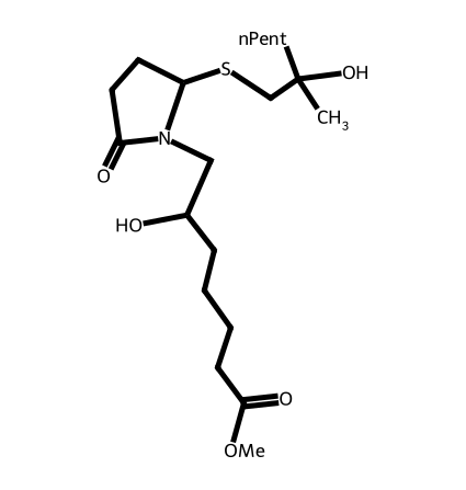 CCCCCC(C)(O)CSC1CCC(=O)N1CC(O)CCCCC(=O)OC